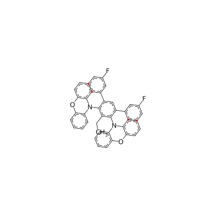 CCc1c(N2c3ccccc3Oc3ccccc32)c(-c2cccc(F)c2)cc(-c2cccc(F)c2)c1N1c2ccccc2Oc2ccccc21